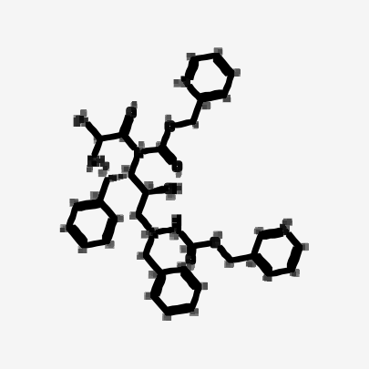 CC(C)C(N)C(=O)N(C(=O)OCc1ccccn1)[C@@H](Cc1ccccc1)[C@@H](O)CN(Cc1ccccc1)NC(=O)OCc1cccnc1